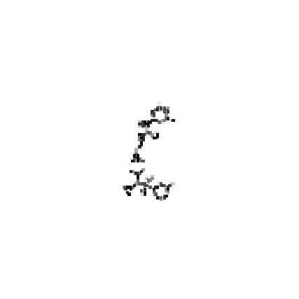 Cc1cccc(S(=O)(=O)N(C2CC2)C2CCN(CCNC(=O)Nc3cc(C)nc(C)c3)CC2)c1